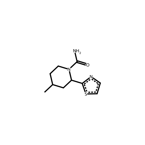 CC1CCN(C(N)=O)C(c2nccs2)C1